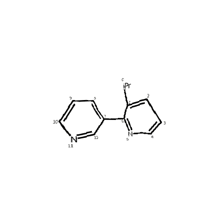 CC(C)c1cccnc1-c1cccnc1